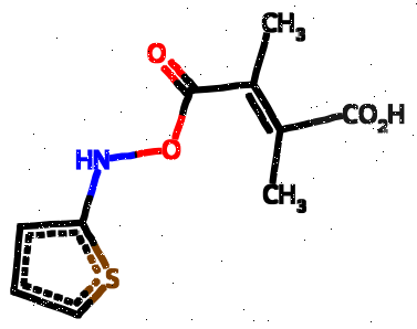 CC(C(=O)O)=C(C)C(=O)ONc1cccs1